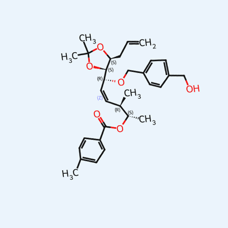 C=CC[C@@H]1OC(C)(C)O[C@@H]1[C@@H](/C=C\[C@@H](C)[C@H](C)OC(=O)c1ccc(C)cc1)OCc1ccc(CO)cc1